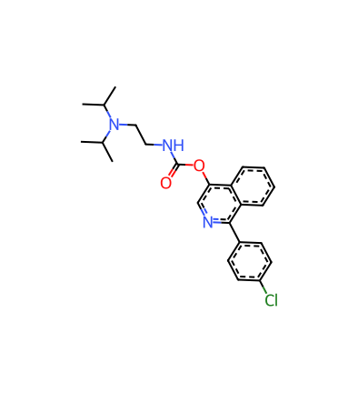 CC(C)N(CCNC(=O)Oc1cnc(-c2ccc(Cl)cc2)c2ccccc12)C(C)C